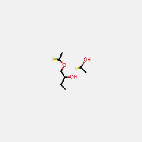 CC(O)=S.CCC(O)COC(C)=S